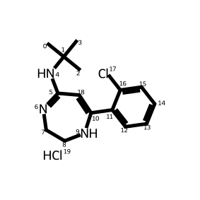 CC(C)(C)NC1=NCCNC(c2ccccc2Cl)=C1.Cl